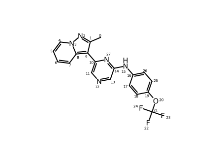 Cc1nn2ccccc2c1-c1cncc(Nc2ccc(OC(F)(F)F)cc2)n1